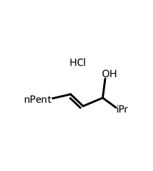 CCCCC/C=C/C(O)C(C)C.Cl